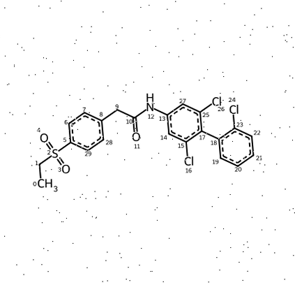 CCS(=O)(=O)c1ccc(CC(=O)Nc2cc(Cl)c(-c3ccccc3Cl)c(Cl)c2)cc1